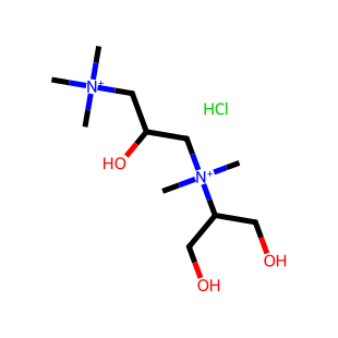 C[N+](C)(C)CC(O)C[N+](C)(C)C(CO)CO.Cl